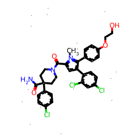 Cn1c(C(=O)N2CCC(C(N)=O)(c3ccc(Cl)cc3)CC2)cc(-c2ccc(Cl)cc2Cl)c1-c1ccc(OCCO)cc1